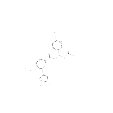 COc1ccc(C(=O)NC(CC(=O)O)c2ccc(C)cc2)nc1-c1cnn(C)c1